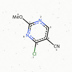 COc1ncc(C#N)c(Cl)n1